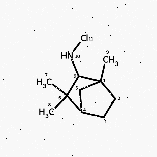 CC12CCC(C1)C(C)(C)C2NCl